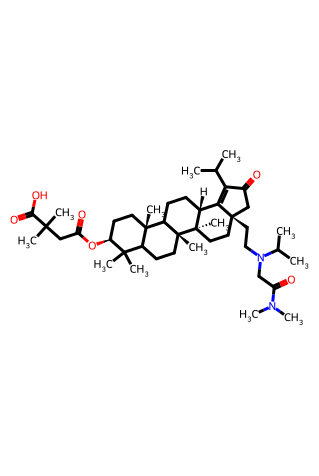 CC(C)C1=C2[C@H]3CCC4[C@@]5(C)CC[C@H](OC(=O)CC(C)(C)C(=O)O)C(C)(C)C5CC[C@@]4(C)[C@]3(C)CC[C@@]2(CCN(CC(=O)N(C)C)C(C)C)CC1=O